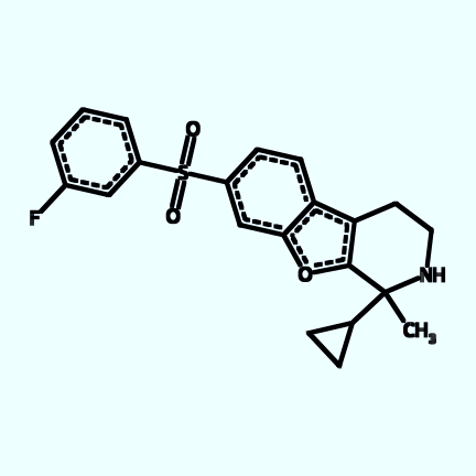 CC1(C2CC2)NCCc2c1oc1cc(S(=O)(=O)c3cccc(F)c3)ccc21